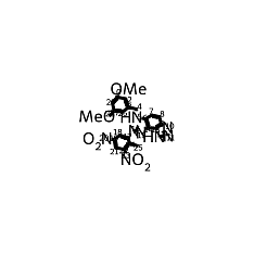 COc1cc(CNc2ccc3nn[nH]c3c2N=Nc2cc([N+](=O)[O-])cc([N+](=O)[O-])c2C)cc(OC)c1